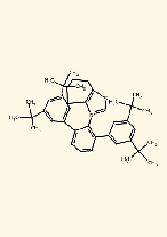 CC(C)(C)c1cc(-c2cccc(-c3cc(C(C)(C)C)cc(C(C)(C)C)c3)c2-[n+]2csc3c2CCCC3)cc(C(C)(C)C)c1